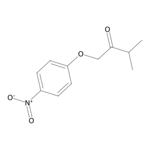 CC(C)C(=O)COc1ccc([N+](=O)[O-])cc1